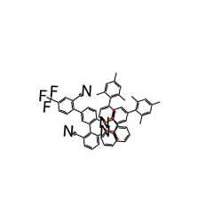 Cc1cc(C)c(-c2ccc3c(c2)c2ccccc2n3-c2ccc(-c3ccc(C(F)(F)F)cc3C#N)cc2-c2c(C#N)cccc2-n2c3ccccc3c3cc(-c4c(C)cc(C)cc4C)ccc32)c(C)c1